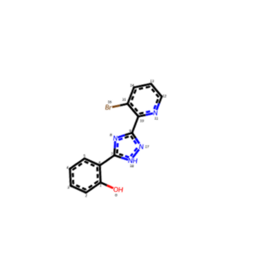 Oc1ccccc1-c1nc(-c2ncccc2Br)n[nH]1